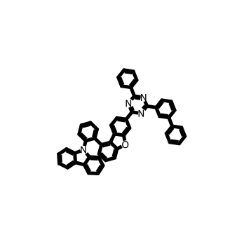 c1ccc(-c2cccc(-c3nc(-c4ccccc4)nc(-c4ccc5c(c4)oc4cccc(-c6ccccc6-n6c7ccccc7c7ccccc76)c45)n3)c2)cc1